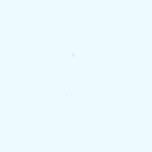 CCC12CCN(CC1)C2